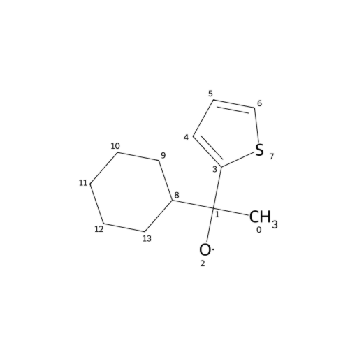 CC([O])(c1cccs1)C1CCCCC1